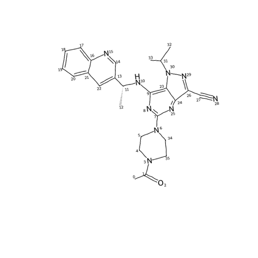 CC(=O)N1CCN(c2nc(N[C@H](C)c3cnc4ccccc4c3)c3c(n2)c(C#N)nn3C(C)C)CC1